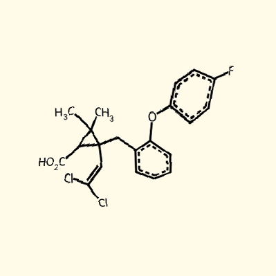 CC1(C)C(C(=O)O)C1(C=C(Cl)Cl)Cc1ccccc1Oc1ccc(F)cc1